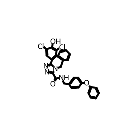 O=C(NCc1ccc(Oc2ccccc2)cc1)c1nnc(-c2cc(Cl)c(O)c(Cl)c2)n1Cc1ccccc1